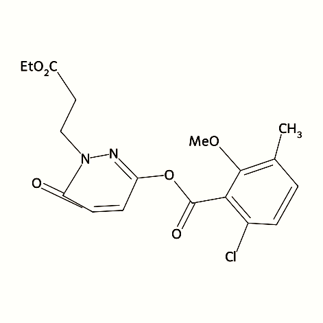 CCOC(=O)CCn1nc(OC(=O)c2c(Cl)ccc(C)c2OC)ccc1=O